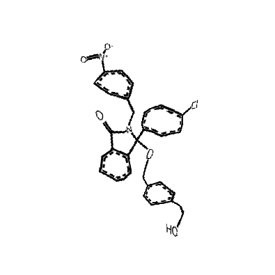 O=C1c2ccccc2C(OCc2ccc(CO)cc2)(c2ccc(Cl)cc2)N1Cc1ccc([N+](=O)[O-])cc1